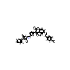 O=C1/C(=C/c2ccc(-c3c(O)c4cc(OCc5ccc(Cl)cc5)ccc4oc3=O)o2)SC(=S)N1C1CC2CCC1C2